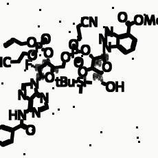 C=CCOP(=O)(OCCC#N)O[C@H]1[C@@H](F)[C@H](n2cnc3c(NC(=O)c4ccccc4)ncnc32)O[C@@H]1COP(=O)(OCCC#N)O[C@@H]1C(O[Si](C)(C)C(C)(C)C)[C@@H](CO)O[C@H]1n1nnc2c(C(=O)OC)cccc21